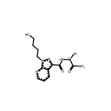 CC(C)[C@H](NC(=O)c1nn(CCCCC#N)c2ncccc12)C(N)=O